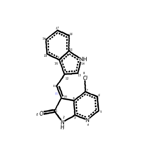 O=C1Nc2nccc(Cl)c2/C1=C\c1c[nH]c2ccccc12